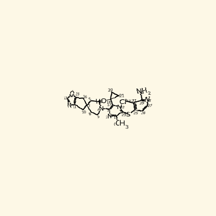 Cc1nc(N2CCC3(CC2)Cc2ncoc2C3)c(C2(O)CC2)nc1Sc1ccnc(N)c1Cl